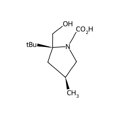 C[C@@H]1CN(C(=O)O)[C@](CO)(C(C)(C)C)C1